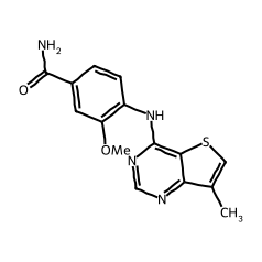 COc1cc(C(N)=O)ccc1Nc1ncnc2c(C)csc12